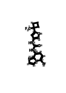 O=C(Nc1cc(C2(C(F)(F)F)CCC2)on1)Nc1ccc(Br)n2ccnc12